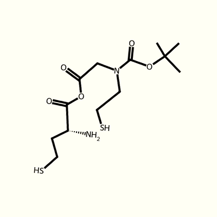 CC(C)(C)OC(=O)N(CCS)CC(=O)OC(=O)[C@H](N)CCS